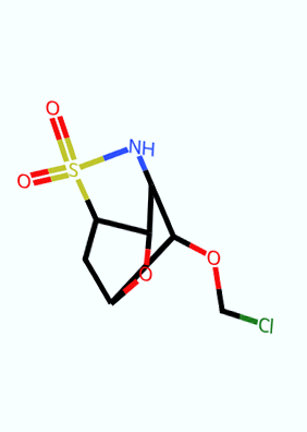 O=S1(=O)NC2C(OCCl)C3CC1C2O3